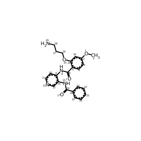 COc1ccc(C(=O)Nc2ccncc2NC(=O)c2ccccc2)c(OCCCN)c1